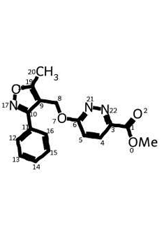 COC(=O)c1ccc(OCc2c(-c3ccccc3)noc2C)nn1